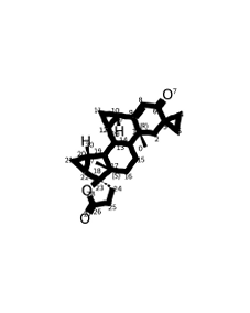 C[C@]12CC3(CC3)C(=O)C=C1[C@H]1CC1C1C2CC[C@@]2(C)C1[C@H]1CC1[C@@]21CCC(=O)O1